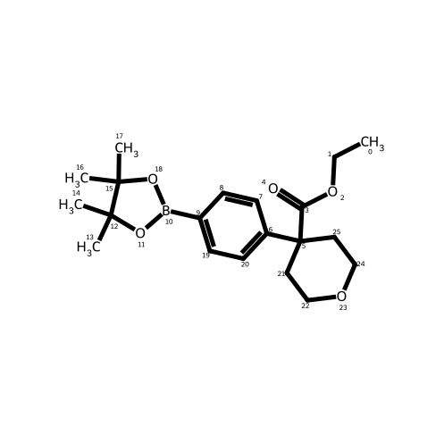 CCOC(=O)C1(c2ccc(B3OC(C)(C)C(C)(C)O3)cc2)CCOCC1